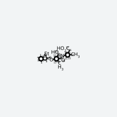 CCN1c2ccccc2C[C@@H]1COc1cc(C)c(C(=O)Nc2ccc(C)c(CC(=O)O)c2)c(CO)c1